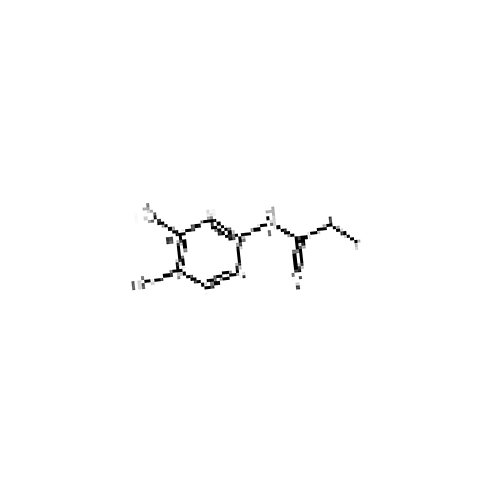 CCC(=O)Nc1ccc(O)c(O)c1